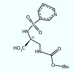 CC(C)(C)OC(=O)NC[C@H](NS(=O)(=O)c1cccnc1)C(=O)O